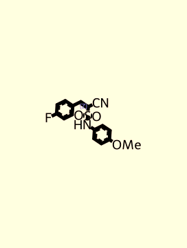 COc1ccc(NS(=O)(=O)/C(C#N)=C\c2ccc(F)cc2)cc1